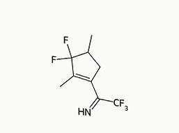 CC1=C(C(=N)C(F)(F)F)CC(C)C1(F)F